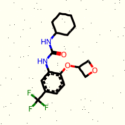 O=C(Nc1cc(C(F)(F)F)ccc1OC1COC1)NC1CCCCC1